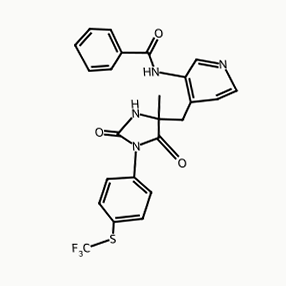 CC1(Cc2ccncc2NC(=O)c2ccccc2)NC(=O)N(c2ccc(SC(F)(F)F)cc2)C1=O